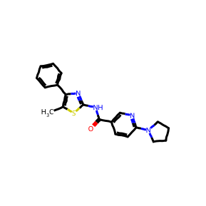 Cc1sc(NC(=O)c2ccc(N3CCCC3)nc2)nc1-c1ccccc1